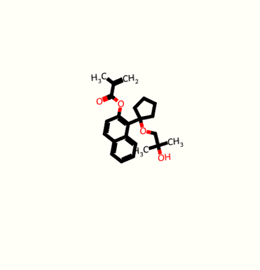 C=C(C)C(=O)Oc1ccc2ccccc2c1C1(OCC(C)(C)O)CCCC1